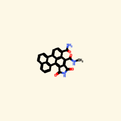 CNC(=O)c1c2c(C(N)=O)ccc3c4cccc5cccc(c54)c(c4c(=O)[nH]c(=O)c14)c23